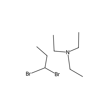 CCC(Br)Br.CCN(CC)CC